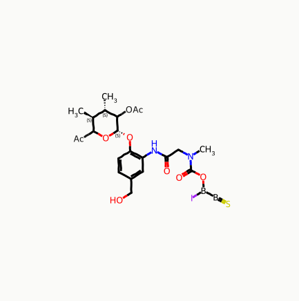 CC(=O)OC1[C@H](Oc2ccc(CO)cc2NC(=O)CN(C)C(=O)OB(I)B=S)OC(C(C)=O)[C@@H](C)[C@@H]1C